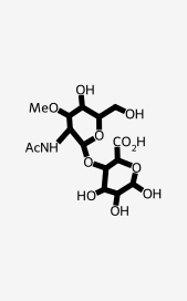 COC1C(O)C(CO)OC(OC2C(C(=O)O)OC(O)C(O)C2O)C1NC(C)=O